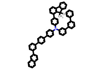 CC1(C)c2ccccc2-c2cccc(-c3ccc(N(c4ccc(-c5ccc(-c6cccc(-c7ccc8ccccc8c7)c6)cc5)cc4)c4cccc(-c5cccc(-c6ccccc6)c5)c4)cc3)c21